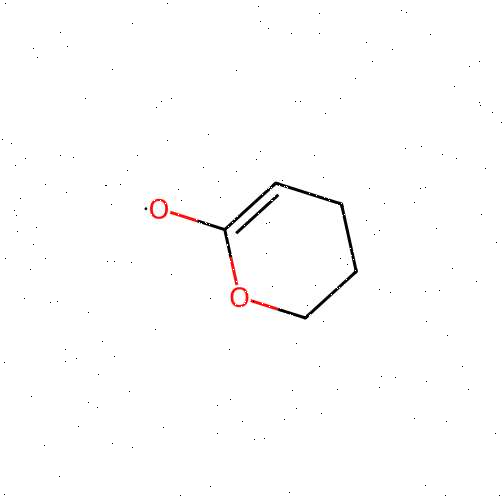 [O]C1=CCCCO1